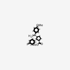 COC(=O)[C@@H]1CC[C@@H](N(C)c2ccc(OC)cc2)[C@H]1c1ccc(F)cc1